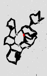 c1ccc(-c2cccc(-n3c4ccccc4c4ccc5c6ccccc6c6nc7ccccc7n6c5c43)c2)nc1